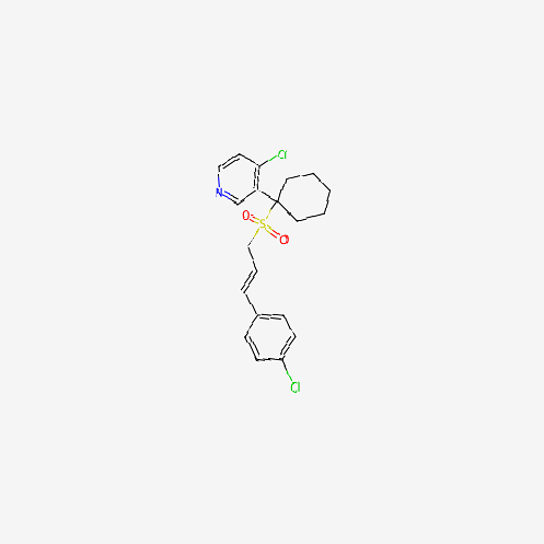 O=S(=O)(CC=Cc1ccc(Cl)cc1)C1(c2cnccc2Cl)CCCCC1